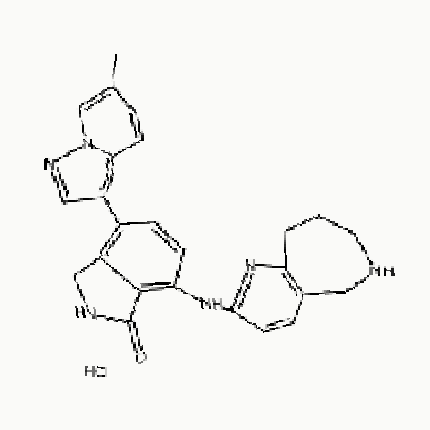 Cc1ccc2c(-c3ccc(Nc4ccc5c(n4)CCCNC5)c4c3CNC4=O)cnn2c1.Cl